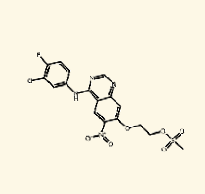 CS(=O)(=O)OCCOc1cc2ncnc(Nc3ccc(F)c(Cl)c3)c2cc1[N+](=O)[O-]